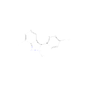 COc1ccc(-c2c3cccc(C(F)(F)F)c3nn2C(C)C)cc1